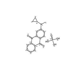 CN(c1ccc2c(c1)C(=O)c1ccccc1C2=O)C1CC1.O=P(O)(O)O